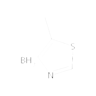 B.Cc1cncs1